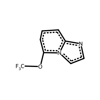 FC(F)(F)Oc1cccc2nccn12